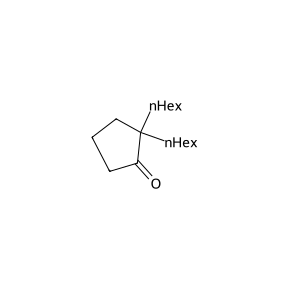 CCCCCCC1(CCCCCC)CCCC1=O